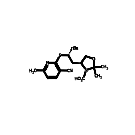 CCCC[C@H](C[C@H]1COC(C)(C)N1C(=O)O)Sc1nc(C)ccc1C#N